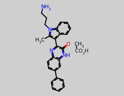 CC(=O)O.Cc1c(-c2nc3ccc(-c4ccccc4)cc3[nH]c2=O)c2ccccc2n1CCCN